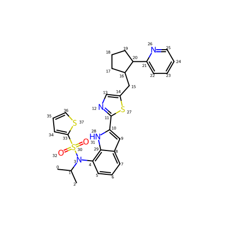 CC(C)N(c1cccc2cc(-c3ncc(CC4CCCC4c4ccccn4)s3)[nH]c12)S(=O)(=O)c1cccs1